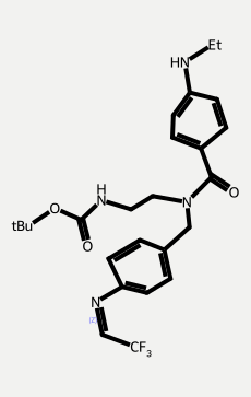 CCNc1ccc(C(=O)N(CCNC(=O)OC(C)(C)C)Cc2ccc(/N=C\C(F)(F)F)cc2)cc1